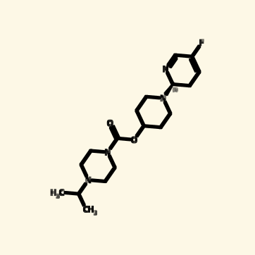 CC(C)N1CCN(C(=O)OC2CCN([C@@H]3CC=C(F)C=N3)CC2)CC1